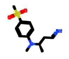 C[C@H](CC=N)N(C)c1ccc(S(C)(=O)=O)cc1